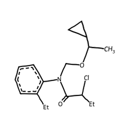 CCc1ccccc1N(COC(C)C1CC1)C(=O)C(Cl)CC